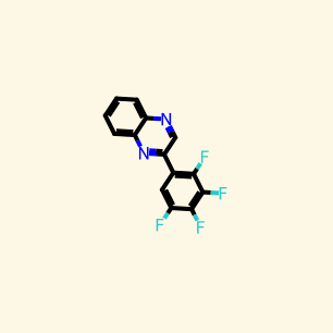 Fc1cc(-c2cnc3ccccc3n2)c(F)c(F)c1F